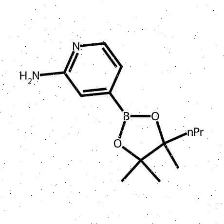 CCCC1(C)OB(c2ccnc(N)c2)OC1(C)C